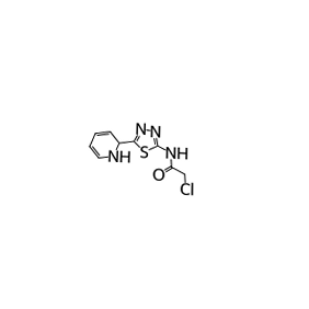 O=C(CCl)Nc1nnc(C2C=CC=CN2)s1